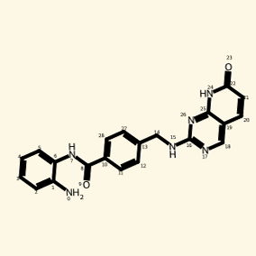 Nc1ccccc1NC(=O)c1ccc(CNc2ncc3ccc(=O)[nH]c3n2)cc1